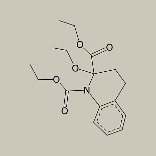 CCOC(=O)N1c2ccccc2CCC1(OCC)C(=O)OCC